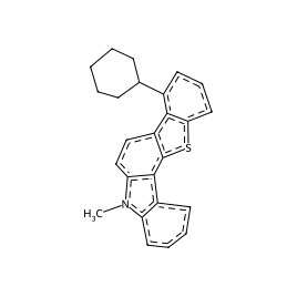 Cn1c2ccccc2c2c3sc4cccc(C5CCCCC5)c4c3ccc21